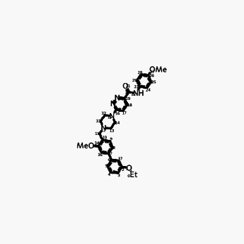 CCOc1cccc(-c2ccc(CN3CCN(c4ccc(C(=O)Nc5ccc(OC)cc5)nn4)CC3)c(OC)c2)c1